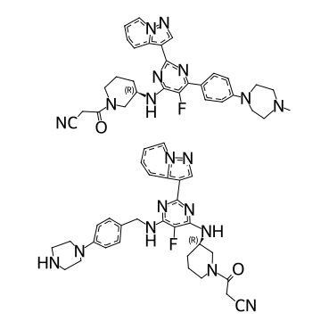 CN1CCN(c2ccc(-c3nc(-c4cnn5ccccc45)nc(N[C@@H]4CCCN(C(=O)CC#N)C4)c3F)cc2)CC1.N#CCC(=O)N1CCC[C@@H](Nc2nc(-c3cnn4ccccc34)nc(NCc3ccc(N4CCNCC4)cc3)c2F)C1